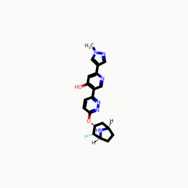 Cn1cc(-c2cc(O)c(-c3ccc(O[C@@H]4C[C@H]5CC[C@H](N5)[C@@H]4F)nn3)cn2)cn1